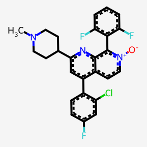 CN1CCC(c2cc(-c3ccc(F)cc3Cl)c3cc[n+]([O-])c(-c4c(F)cccc4F)c3n2)CC1